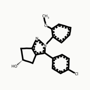 COc1ccccc1-n1nc2c(c1-c1ccc(Cl)cc1)C[C@H](O)C2